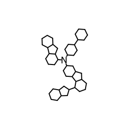 C1CCC(C2CCC(N(C3CCC4C(CC5CCCC(C6CC7CCCCC7C6)C54)C3)C3CCCC4C5CCCCC5CC43)CC2)CC1